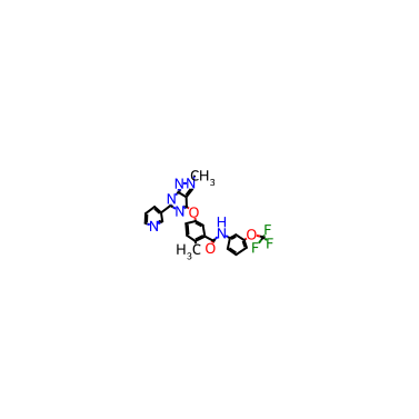 Cc1ccc(Oc2nc(-c3cccnc3)nc3nn(C)cc23)cc1C(=O)Nc1cccc(OC(F)(F)F)c1